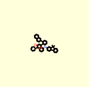 CC1(C)c2ccccc2-c2ccc(N(c3ccccc3)c3cccc(-c4ccc5ccccc5c4)c3-c3ccc4c(c3)OC3C=CC=CC43)cc21